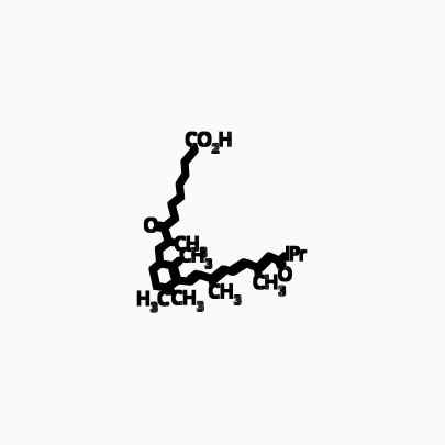 CC1=C(/C=C/C(C)=C/C=C/C(C)=C/C(=O)C(C)C)C(C)(C)CCC1CC(C)C(=O)CCCCCCCC(=O)O